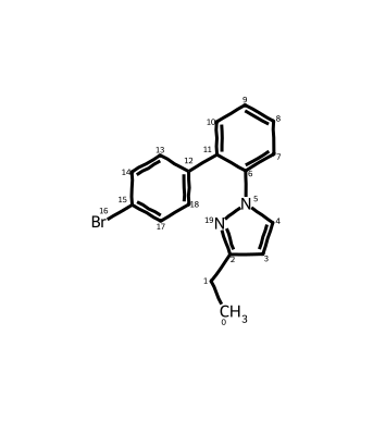 CCc1ccn(-c2ccccc2-c2ccc(Br)cc2)n1